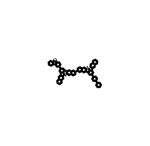 c1ccc(-c2ccc(-c3cc4c5cc6ccccc6cc5n5c6cc7ccc(-c8ccc9cc%10c(cc9c8)c8cc(-c9ccc%11oc%12ccccc%12c%11c9)cc9c%11cc%12ccccc%12cc%11n%10c98)cc7cc6c(c3)c45)cc2)cc1